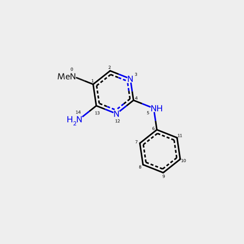 CNc1cnc(Nc2ccccc2)nc1N